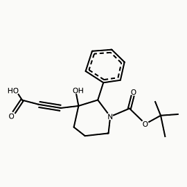 CC(C)(C)OC(=O)N1CCCC(O)(C#CC(=O)O)C1c1ccccc1